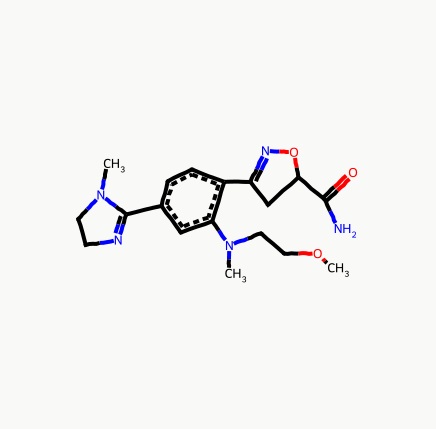 COCCN(C)c1cc(C2=NCCN2C)ccc1C1=NOC(C(N)=O)C1